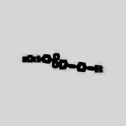 CCC#Cc1ccc(C#Cc2ccc(OC(=O)c3ccc(CCCCCCCC)cc3)cc2)cc1